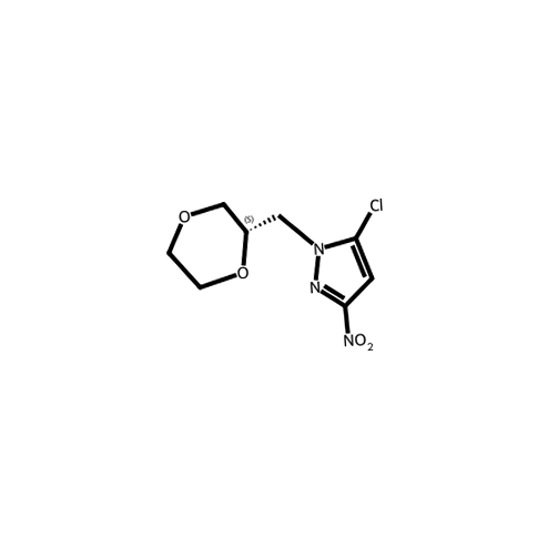 O=[N+]([O-])c1cc(Cl)n(C[C@H]2COCCO2)n1